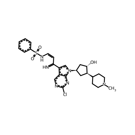 CN1CCC([C@H]2C[C@@H](n3cc(C(=N)/C=C\NS(=O)(=O)c4ccccc4)c4cnc(Cl)nc43)C[C@@H]2O)CC1